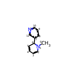 CN1C=CC=CC1c1cccnc1